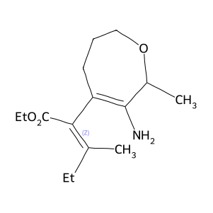 CCOC(=O)/C(C1=C(N)C(C)OCCC1)=C(/C)CC